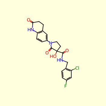 O=C1CCc2cc(N3CCC(O)(C(=O)NCc4ccc(F)cc4Cl)C3=O)ccc2N1